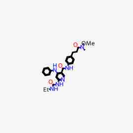 CCNC(=O)Nc1cc(Nc2ccccc2)c(C(=O)Nc2ccc(CCC(=O)N(C)OC)cc2)cn1